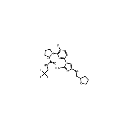 Nc1nc(NCC2CCCO2)nn1-c1ncc(F)c(N2CCC[C@@H]2C(=O)NCC(F)(F)F)n1